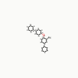 CC(=O)c1cc(-c2ccccc2)ccc1Oc1ccc(-c2ccccc2)cc1